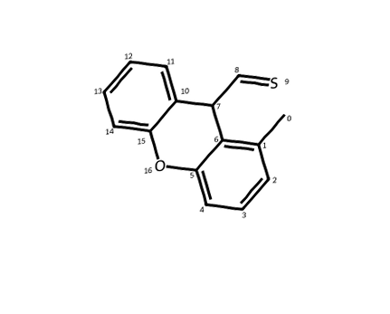 Cc1cccc2c1C(C=S)c1ccccc1O2